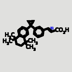 CC1(C)CCC(C)(C)c2cc(C3(c4cccc(/C=C/C(=O)O)c4)CC3)ccc21